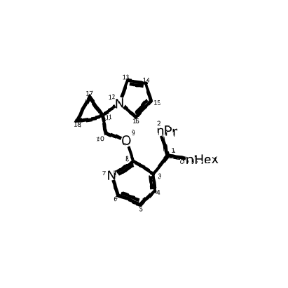 CCCCCCC(CCC)c1cccnc1OCC1(n2cccc2)CC1